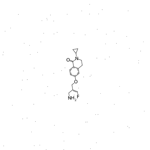 NCC(=CF)COc1ccc2c(c1)CCN(C1CC1)C2=O